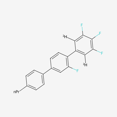 [2H]c1c(F)c(F)c(F)c([2H])c1-c1ccc(-c2ccc(CCC)cc2)cc1F